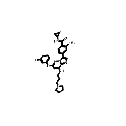 Cc1cc(-c2cnc3c(NCCCN4CCCC4)cc(Oc4cccc(F)c4)nn23)ccc1C(=O)NC1CC1